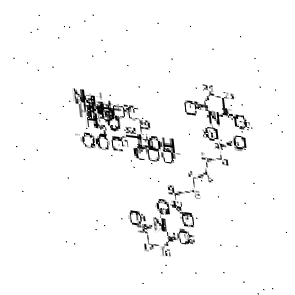 O.O.O=C(CCCCCCC(=O)ON1C(=O)CCC1=O)ON1C(=O)CCC1=O.O=C([O-])CC(O)(CC(=O)[O-])C(=O)[O-].[Na+].[Na+].[Na+]